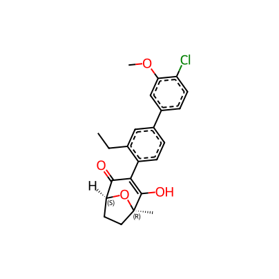 CCc1cc(-c2ccc(Cl)c(OC)c2)ccc1C1=C(O)[C@@]2(C)CC[C@H](O2)C1=O